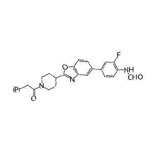 CC(C)CC(=O)N1CCC(c2nc3cc(-c4ccc(NC=O)c(F)c4)ccc3o2)CC1